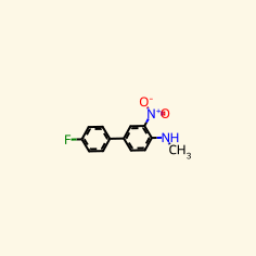 CNc1ccc(-c2ccc(F)cc2)cc1[N+](=O)[O-]